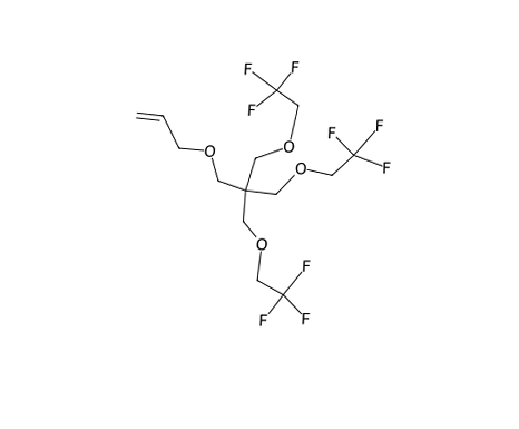 C=CCOCC(COCC(F)(F)F)(COCC(F)(F)F)COCC(F)(F)F